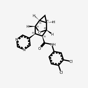 O=C(Nc1ccc(Cl)c(Cl)c1)[C@@H]1[C@@H]2O[C@@H]([C@H]3C[C@H]32)[C@@H]1c1cncnc1